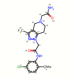 COc1ccc(Cl)cc1NC(=O)Cn1nc(C(F)(F)F)c2c1CCN(CC(N)=O)C2